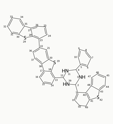 C1=C(C2NC(c3ccccc3)NC(c3cccc4c3sc3cc(-c5cccc6c5sc5ccccc56)ccc34)N2)c2c(sc3ccccc23)CC1